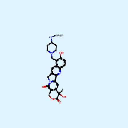 CCC1(O)C(=O)OCc2c1cc1n(c2=O)Cc2cc3c(CN4CCC(NC(=O)O)CC4)c(O)ccc3nc2-1